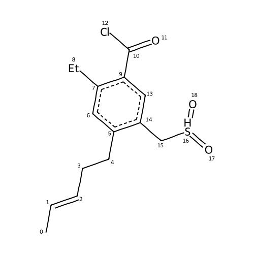 CC=CCCc1cc(CC)c(C(=O)Cl)cc1C[SH](=O)=O